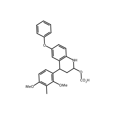 COc1ccc(C2CC(OC(=O)O)Nc3ccc(Oc4ccccc4)cc32)c(OC)c1C